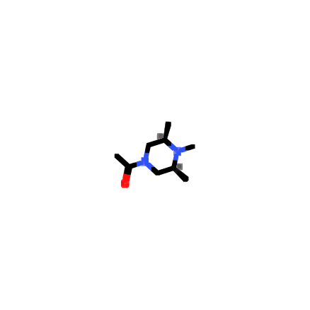 CC(=O)N1C[C@@H](C)N(C)[C@@H](C)C1